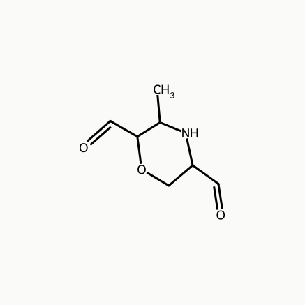 CC1NC(C=O)COC1C=O